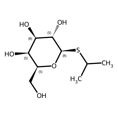 CC(C)S[C@H]1O[C@@H](CO)[C@@H](O)[C@@H](O)[C@@H]1O